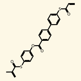 C=CC(=O)Sc1ccc(-c2ccc(C(=O)Oc3ccc(SC(=O)C(=C)C)cc3)cc2)cc1